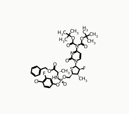 C[C@H]1[C@H](F)[C@H](n2ccc(N(C(=O)OC(C)(C)C)C(=O)OC(C)(C)C)nc2=O)S[C@@H]1COP(=O)(N[C@@H](C)C(=O)OCc1ccccc1)Oc1ccc(Cl)c(F)c1